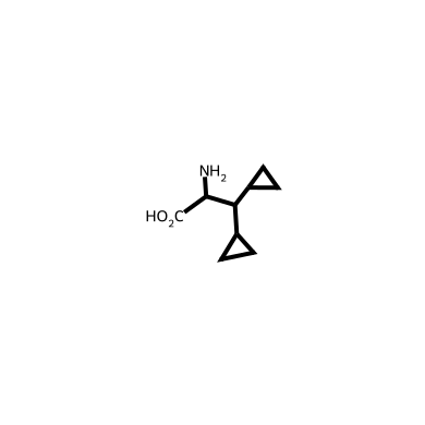 NC(C(=O)O)C(C1CC1)C1CC1